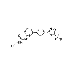 CCNC(=O)Nc1cccc(-c2ccc(-c3noc(C(F)(F)F)n3)cc2)n1